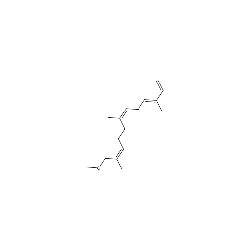 C=CC(C)=CCC=C(C)CCC=C(C)COC